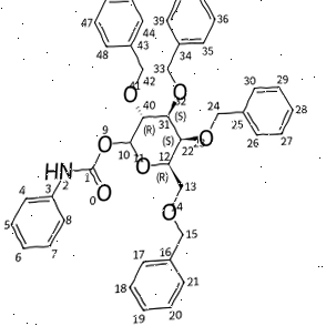 O=C(Nc1ccccc1)OC1O[C@H](COCc2ccccc2)[C@H](OCc2ccccc2)[C@H](OCc2ccccc2)[C@H]1OCc1ccccc1